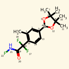 Cc1cc(B2OC(C)(C)C(C)(C)O2)ccc1C(F)(F)C(=O)NF